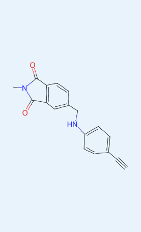 C#Cc1ccc(NCc2ccc3c(c2)C(=O)N(C)C3=O)cc1